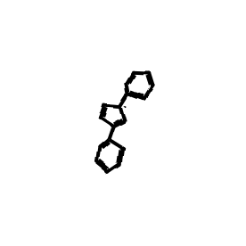 C1=CC(c2ccccc2)=C[C]1c1ccccc1